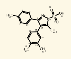 Cc1ccc(-c2nn(S(=O)(=O)O)c(C)c2-c2ccc(C)c(C)c2)cc1